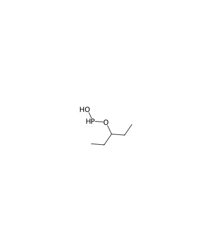 CCC(CC)OPO